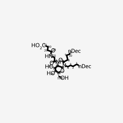 CCCCCCCCCCCCCCN(C(=O)CCCCCCCCCCCCC)[C@@H]1O[C@H](CO)[C@H](O)[C@H](O)[C@H]1NC(=O)CNC(=O)CCC(=O)O